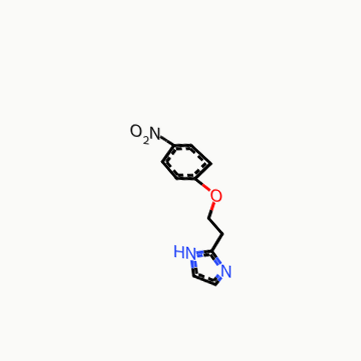 O=[N+]([O-])c1ccc(OCCc2ncc[nH]2)cc1